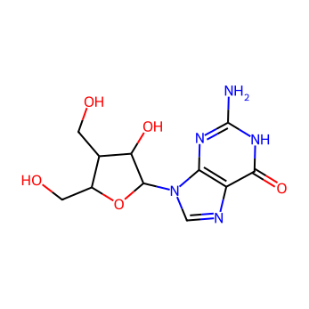 Nc1nc2c(ncn2C2OC(CO)C(CO)C2O)c(=O)[nH]1